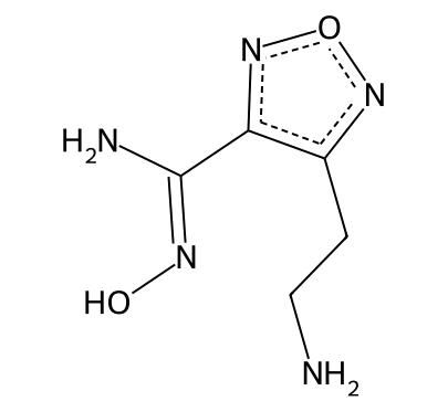 NCCc1nonc1C(N)=NO